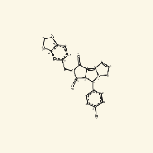 O=C1C2=C3C=CCN3C(c3ccc(Br)cc3)C2C(=O)N1Cc1ccc2c(c1)OCO2